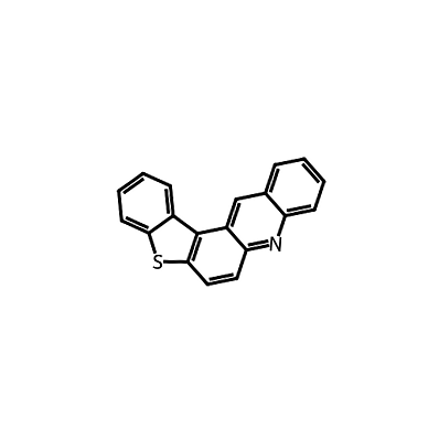 c1ccc2nc3ccc4sc5ccccc5c4c3cc2c1